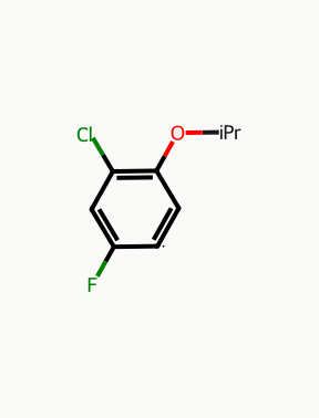 CC(C)Oc1c[c]c(F)cc1Cl